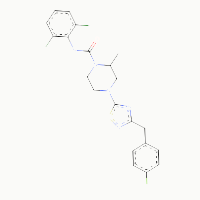 CC1CN(c2nc(Cc3ccc(F)cc3)ns2)CCN1C(=O)Nc1c(Cl)cccc1Cl